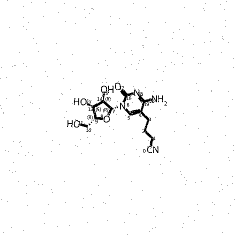 N#CCCCc1cn([C@@H]2O[C@H](CO)[C@@H](O)[C@H]2O)c(=O)nc1N